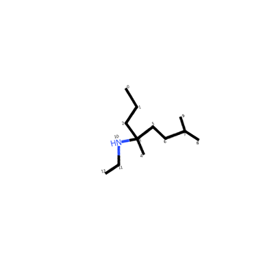 CCCC(C)(CCC(C)C)NCC